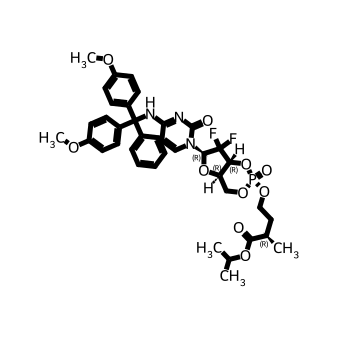 COc1ccc(C(Nc2ccn([C@@H]3O[C@@H]4COP(=O)(OCC[C@@H](C)C(=O)OC(C)C)O[C@H]4C3(F)F)c(=O)n2)(c2ccccc2)c2ccc(OC)cc2)cc1